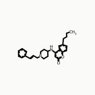 CCCCc1ccc2oc(=O)cc(NC3CCN(C/C=C/c4ccccc4)CC3)c2c1